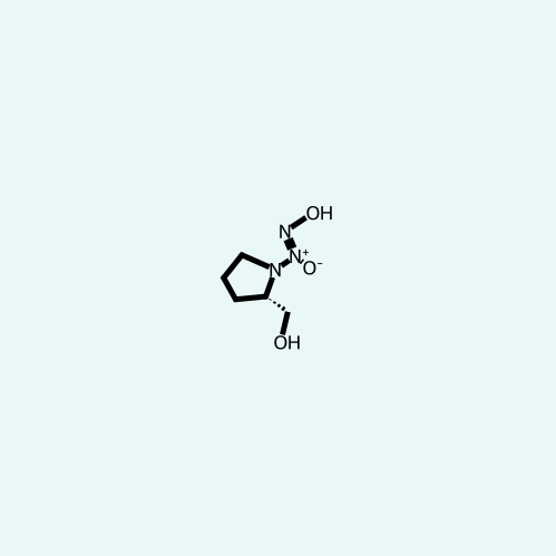 [O-]/[N+](=N\O)N1CCC[C@H]1CO